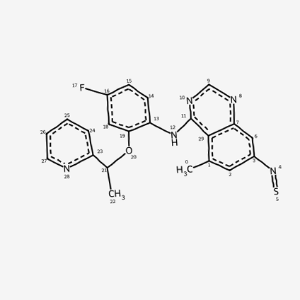 Cc1cc(N=S)cc2ncnc(Nc3ccc(F)cc3OC(C)c3ccccn3)c12